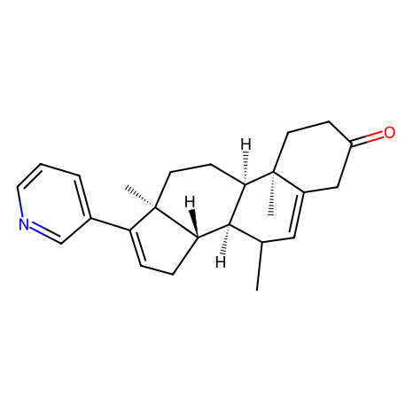 CC1C=C2CC(=O)CC[C@]2(C)[C@@H]2CC[C@]3(C)C(c4cccnc4)=CC[C@H]3[C@H]12